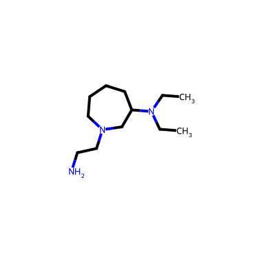 CCN(CC)C1CCCCN(CCN)C1